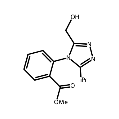 COC(=O)c1ccccc1-n1c(CO)nnc1C(C)C